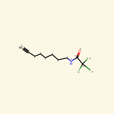 C#CCCCCCCNC(=O)C(F)(F)F